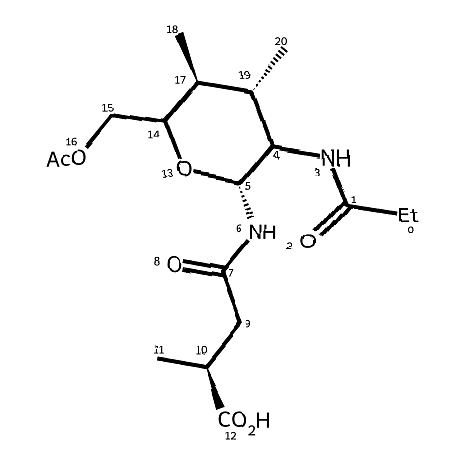 CCC(=O)NC1[C@H](NC(=O)C[C@H](C)C(=O)O)OC(COC(C)=O)[C@@H](C)[C@@H]1C